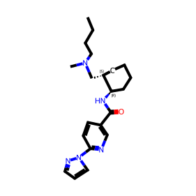 CCCCN(C)C[C@@H]1CCCC[C@H]1NC(=O)c1ccc(-n2cccn2)nc1